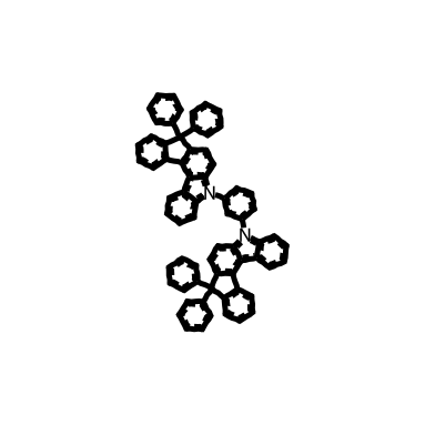 c1ccc(C2(c3ccccc3)c3ccccc3-c3c2ccc2c3c3ccccc3n2-c2cccc(-n3c4ccccc4c4c5c(ccc43)C(c3ccccc3)(c3ccccc3)c3ccccc3-5)c2)cc1